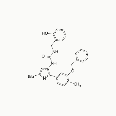 Cc1ccc(-n2nc(C(C)(C)C)cc2NC(=O)NCc2ccccc2O)cc1OCc1ccccc1